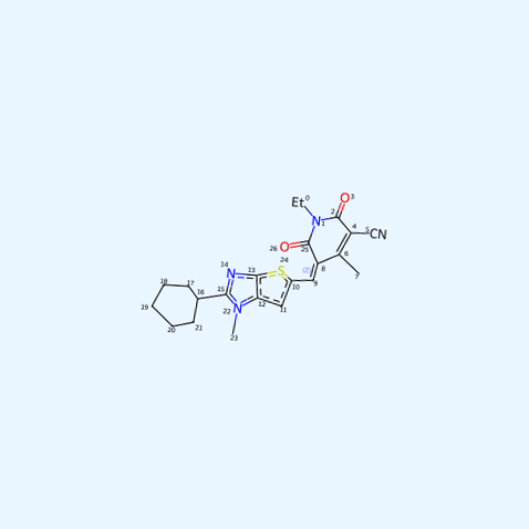 CCN1C(=O)C(C#N)=C(C)/C(=C/c2cc3c(nc(C4CCCCC4)n3C)s2)C1=O